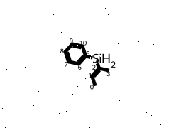 CC=C(C)[SiH2]c1ccccc1